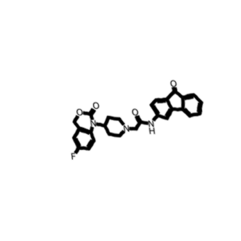 O=C(CN1CCC(N2C(=O)OCc3cc(F)ccc32)CC1)Nc1ccc2c(c1)-c1ccccc1C2=O